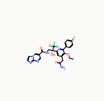 CCOc1c(CC(N)=O)cc([C@@](O)(CNC(=O)c2cnc3nccn3c2)C(F)(F)F)nc1-c1ccc(F)cc1